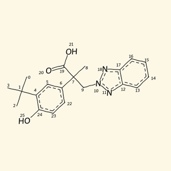 CC(C)(C)c1cc(C(C)(Cn2nc3ccccc3n2)C(=O)O)ccc1O